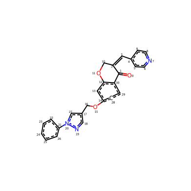 O=C1C(=Cc2ccncc2)COc2cc(OCc3cnn(-c4ccccc4)c3)ccc21